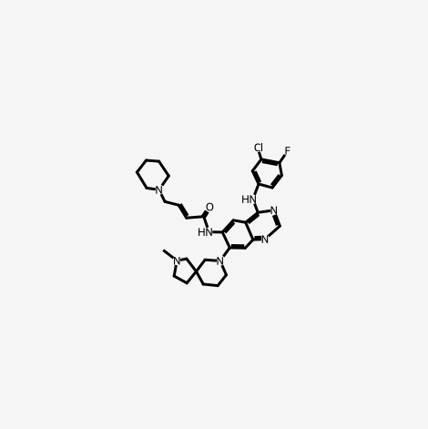 CN1CCC2(CCCN(c3cc4ncnc(Nc5ccc(F)c(Cl)c5)c4cc3NC(=O)C=CCN3CCCCC3)C2)C1